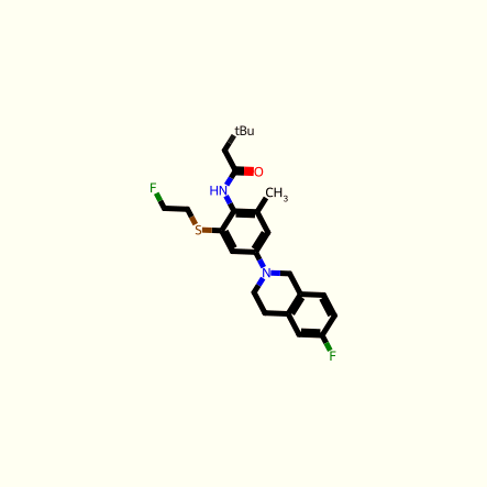 Cc1cc(N2CCc3cc(F)ccc3C2)cc(SCCF)c1NC(=O)CC(C)(C)C